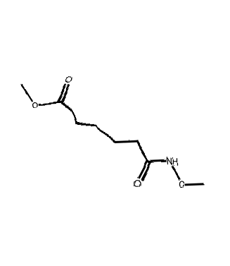 CONC(=O)CCCCC(=O)OC